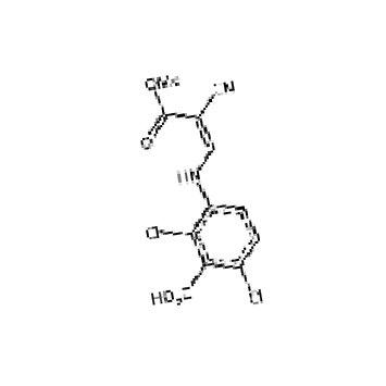 COC(=O)C(C#N)=CNc1ccc(Cl)c(C(=O)O)c1Cl